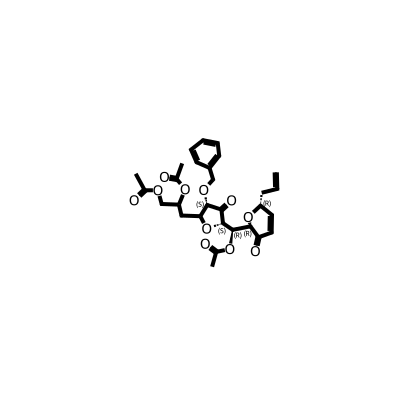 C=CC[C@@H]1C=CC(=O)[C@@H]([C@@H](OC(C)=O)[C@@H]2OC(CC(COC(C)=O)OC(C)=O)[C@H](OCc3ccccc3)C2=O)O1